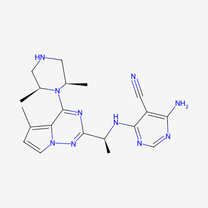 Cc1ccn2nc([C@H](C)Nc3ncnc(N)c3C#N)nc(N3[C@H](C)CNC[C@@H]3C)c12